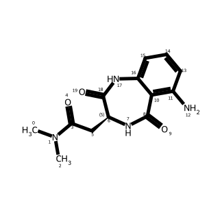 CN(C)C(=O)C[C@@H]1NC(=O)c2c(N)cccc2NC1=O